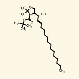 CCCCCCCCCCCCC/C=C/[C@@H](O)C1COC(C)(C)N1C(=O)OC(C)(C)C